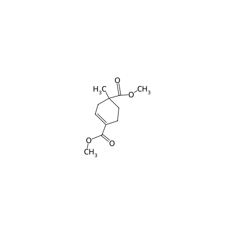 COC(=O)C1=CCC(C)(C(=O)OC)CC1